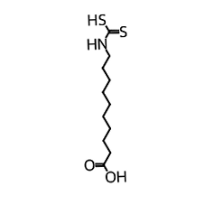 O=C(O)CCCCCCCCCNC(=S)S